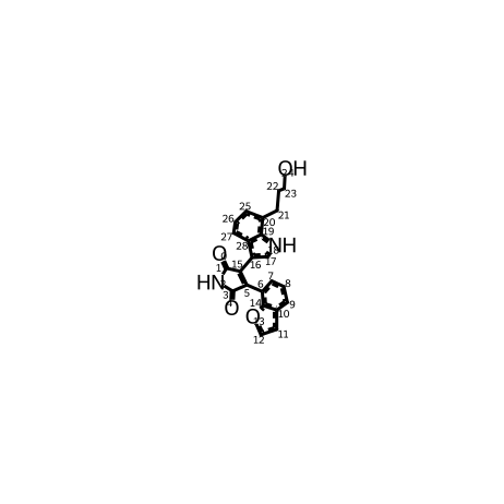 O=C1NC(=O)C(c2cccc3ccoc23)=C1c1c[nH]c2c(CCCO)cccc12